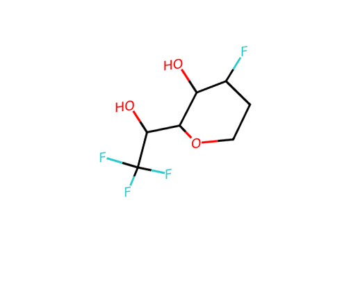 OC1C(F)CCOC1C(O)C(F)(F)F